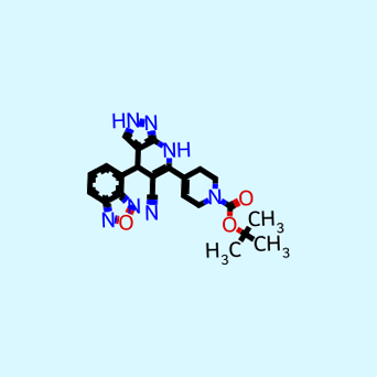 CC(C)(C)OC(=O)N1CC=C(C2=C(C#N)C(c3cccc4nonc34)c3c[nH]nc3N2)CC1